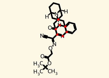 CC(C)(C)OC(=O)CON=C(C#N)c1nc2ccccc2n([C@H]2C[C@H]3CCC[C@@H](C2)N3C2CC3CCCC(C3)C2)c1=O